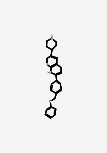 C1=C(c2ccc(COc3ccccc3)cc2)Nc2ncc(C3CCNCC3)cc2C1